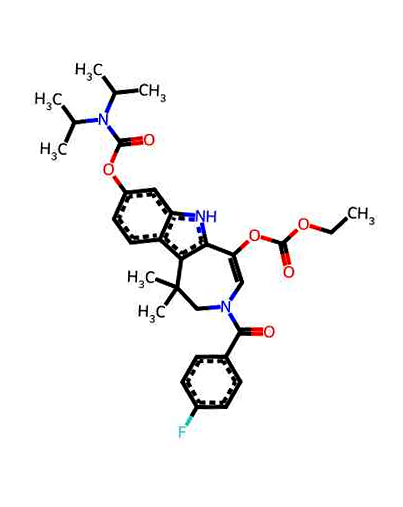 CCOC(=O)OC1=CN(C(=O)c2ccc(F)cc2)CC(C)(C)c2c1[nH]c1cc(OC(=O)N(C(C)C)C(C)C)ccc21